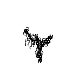 COCCOCCOCC(=O)N(CCCN(CCN1C(=O)c2cccc3c(-n4ccnc4)ccc(c23)C1=O)C(=O)OCc1ccc(NC(=O)[C@H](CCCN)NC(=O)[C@@H](NC(=O)CCCCCN2C(=O)C=CC2=O)C(C)C)cc1)CCN1C(=O)c2cccc3c(N4C=NCC4)ccc(c23)C1=O